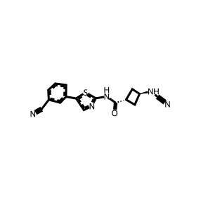 N#CN[C@H]1C[C@H](C(=O)Nc2ncc(-c3cccc(C#N)c3)s2)C1